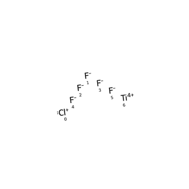 [Cl+].[F-].[F-].[F-].[F-].[F-].[Ti+4]